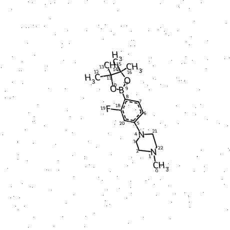 CN1CCN(c2ccc(B3OC(C)(C)C(C)(C)O3)c(F)c2)CC1